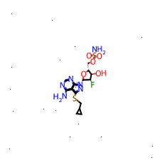 Nc1ncnc2c1c(SCC1CC1)nn2[C@@H]1O[C@H](COS(N)(=O)=O)[C@@H](O)[C@@H]1F